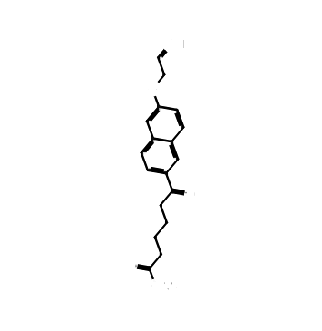 C=CCOc1ccc2cc(C(=O)CCCCC(=O)OC)ccc2c1